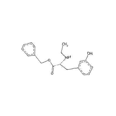 CCNC(Cc1cccc(O)c1)C(=O)OCc1ccccc1